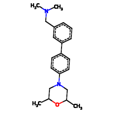 CC1CN(c2ccc(-c3cccc(CN(C)C)c3)cc2)CC(C)O1